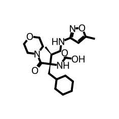 Cc1cc(NC[C@H](C)[C@](CC2CCCCC2)(NC(=O)O)C(=O)N2CCOCC2)no1